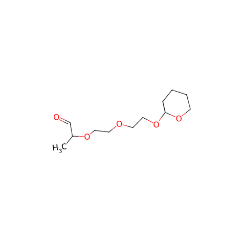 CC(C=O)OCCOCCOC1CCCCO1